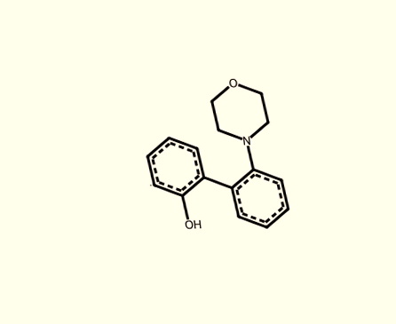 Oc1[c]cccc1-c1ccccc1N1CCOCC1